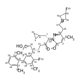 Cc1cc(=O)n([C@@H](CC2CC2)C(=O)CC[C@@H](CC(=O)O)c2cc(-c3c(C)cccc3C)cc(C(F)(F)F)c2F)nc1CCN1CC(F)C1